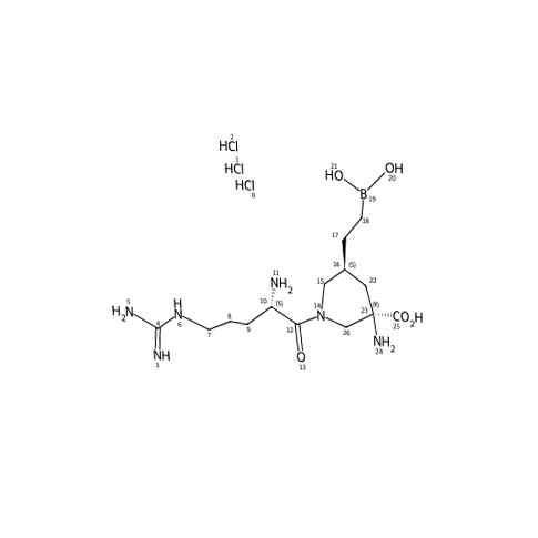 Cl.Cl.Cl.N=C(N)NCCC[C@H](N)C(=O)N1C[C@@H](CCB(O)O)C[C@](N)(C(=O)O)C1